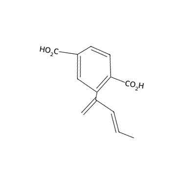 C=C(C=CC)c1cc(C(=O)O)ccc1C(=O)O